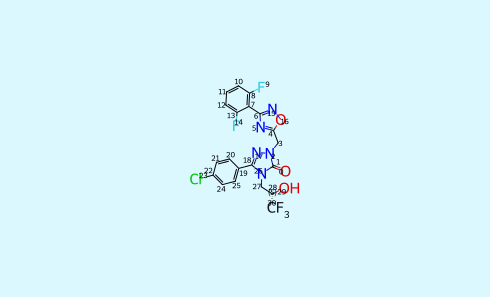 O=c1n(Cc2nc(-c3c(F)cccc3F)no2)nc(-c2ccc(Cl)cc2)n1C[C@H](O)C(F)(F)F